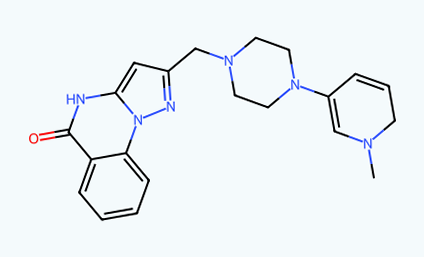 CN1C=C(N2CCN(Cc3cc4[nH]c(=O)c5ccccc5n4n3)CC2)C=CC1